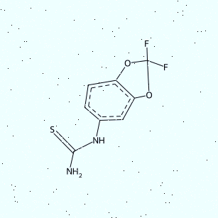 NC(=S)Nc1ccc2c(c1)OC(F)(F)O2